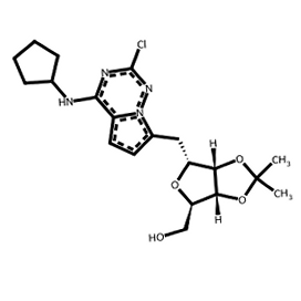 CC1(C)O[C@@H]2[C@H](O1)[C@@H](CO)O[C@@H]2Cc1ccc2c(NC3CCCC3)nc(Cl)nn12